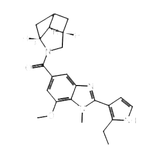 CCc1[nH]ccc1-c1nc2cc(C(=O)N3C[C@H]4CC5C[C@@H]3[C@H]54)cc(OC)c2n1C